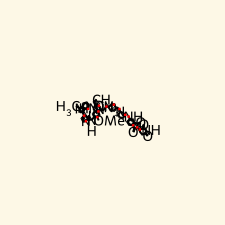 C=CC(=O)Nc1cc(Nc2nccc(-c3cn(C)c4ccccc34)n2)c(OC)cc1N(C)CCN1CCC(CN2CCC[C@@H](Nc3ccc4c(c3)C(=O)N(C3CCC(=O)NC3=O)C4=O)C2)CC1